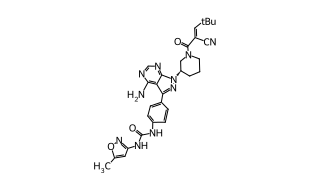 Cc1cc(NC(=O)Nc2ccc(-c3nn([C@@H]4CCCN(C(=O)/C(C#N)=C/C(C)(C)C)C4)c4ncnc(N)c34)cc2)no1